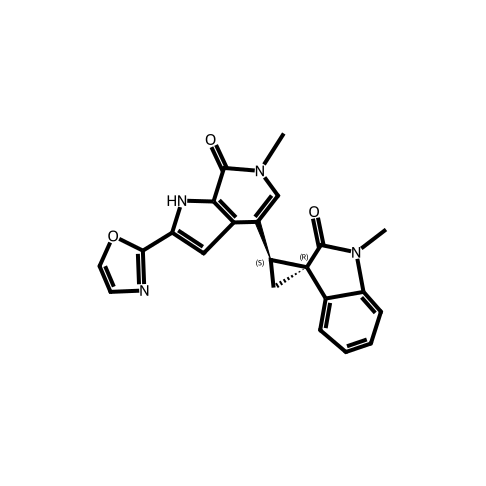 CN1C(=O)[C@@]2(C[C@H]2c2cn(C)c(=O)c3[nH]c(-c4ncco4)cc23)c2ccccc21